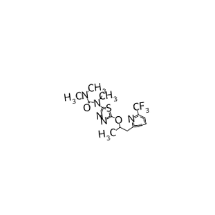 CC(Cc1cccc(C(F)(F)F)n1)Oc1nnc(N(C)C(=O)N(C)C)s1